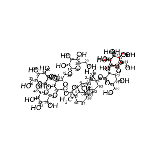 C=C1C[C@@]23CCC4[C@](C)(C(=O)OC5OC(COC6OC(CO)C(O)C(O)C6O)C(O)C(OC6OC(CO)C(O)C(O)C6O)C5OC5OC(CO)C(O)C(O)C5O)CCC[C@@]4(C)[C@@H]2CCC1(OC1OC(CO)C(O)C(OC2OC(CO)C(O)C(O)C2O)C1OC1OC(CO)C(O)C(O)C1O)C3